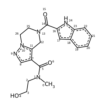 CN(CCO)C(=O)c1cnn2c1CN(C(=O)c1cc3ccccc3[nH]1)CC2